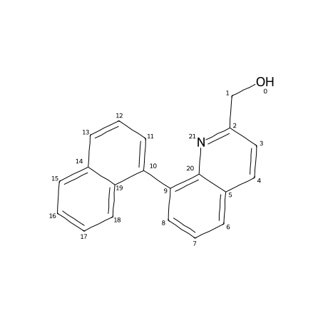 OCc1ccc2cccc(-c3cccc4ccccc34)c2n1